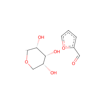 O=Cc1ccco1.O[C@@H]1[C@H](O)CO[CH][C@@H]1O